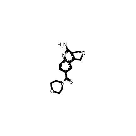 Nc1nc2ccc(C(=S)N3CCOCC3)cc2c2c1COC2